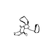 O=C1N=C2SCCN2C(=O)C1N(Cc1ccccc1)Cc1ccccc1